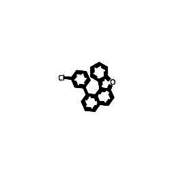 Clc1cccc(-c2cccc3ccc4oc5ccccc5c4c23)c1